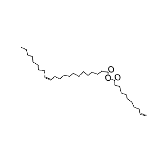 C=CCCCCCCCCC(=O)OC(=O)CCCCCCCCCCC/C=C\CCCCCCCC